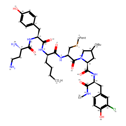 CCCCCSC[C@H](NC(=O)[C@@H](CCCC(=O)O)NC(=O)[C@H](Cc1ccc(O)cc1)NC(=O)[C@@H](N)CCN)C(=O)N1CC(OCC(C)C)C[C@H]1C(=O)N[C@@H](Cc1ccc(O)c(Cl)c1)C(=O)NCC